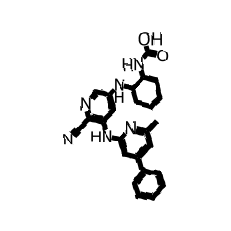 Cc1cc(-c2ccccc2)cc(Nc2cc(NC3CCCCC3NC(=O)O)cnc2C#N)n1